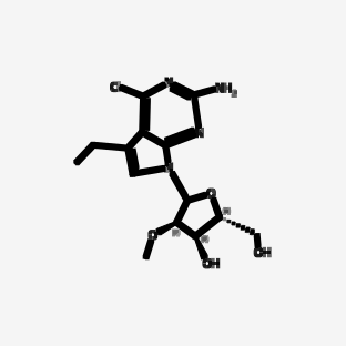 CCc1cn(C2O[C@H](CO)[C@@H](O)[C@H]2OC)c2nc(N)nc(Cl)c12